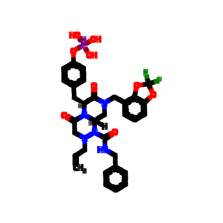 C=CCN1CC(=O)N2[C@@H](Cc3ccc(O[PH](O)(O)O)cc3)C(=O)N(Cc3cccc4c3OC(F)(F)O4)C[C@@H]2N1C(=O)NCc1ccccc1